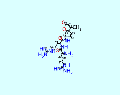 Cc1cc(=O)oc2cc(NC(=O)C(CCCNC(=N)N)NC(=O)C(N)CCCNC(=N)N)ccc12